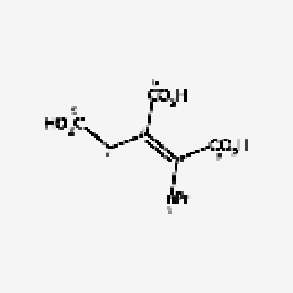 CCC/C(C(=O)O)=C(\CC(=O)O)C(=O)O